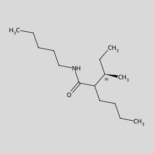 CCCCCNC(=O)C(CCCC)[C@H](C)CC